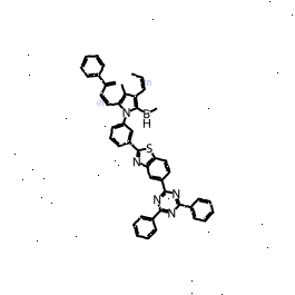 C=C(/C=C\c1c(C)c(/C=C\C)c(BC)n1-c1cccc(-c2nc3cc(-c4nc(-c5ccccc5)nc(-c5ccccc5)n4)ccc3s2)c1)c1ccccc1